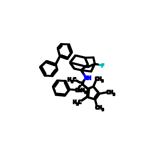 CC1=C(C)C(C)[C]([Ti]([CH3])([NH]C23CC4CC(CC(F)(C4)C2)C3)[GeH2][c]2ccccc2)=C1C.c1ccc(-c2ccccc2)cc1